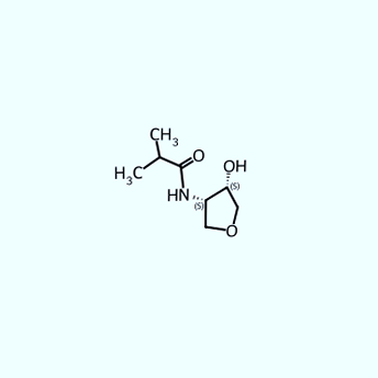 CC(C)C(=O)N[C@H]1COC[C@H]1O